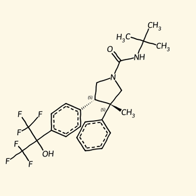 CC(C)(C)NC(=O)N1C[C@@H](c2ccc(C(O)(C(F)(F)F)C(F)(F)F)cc2)[C@@](C)(c2ccccc2)C1